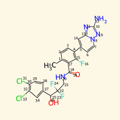 Cc1ccc(-c2ccn3nc(N)nc3c2)c(F)c1C(=O)NCC(F)(F)C(O)c1ccc(Cl)c(Cl)c1